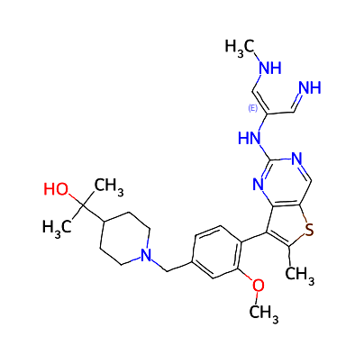 CN/C=C(\C=N)Nc1ncc2sc(C)c(-c3ccc(CN4CCC(C(C)(C)O)CC4)cc3OC)c2n1